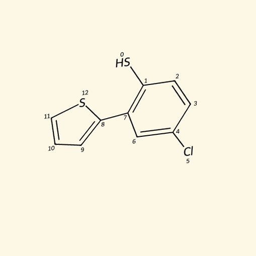 Sc1ccc(Cl)cc1-c1cccs1